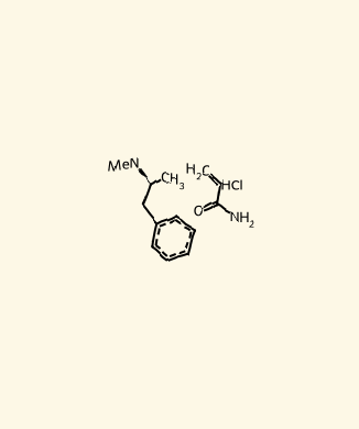 C=CC(N)=O.CN[C@@H](C)Cc1ccccc1.Cl